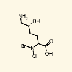 NC[C@H](O)CC[C@@H](C(=O)O)N(Cl)Br